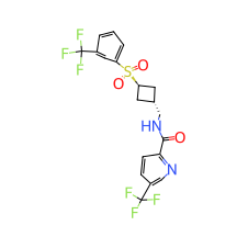 O=C(NC[C@H]1C[C@H](S(=O)(=O)c2cccc(C(F)(F)F)c2)C1)c1ccc(C(F)(F)F)cn1